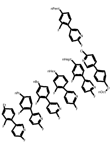 CCCCCCCCOc1ccc(-c2ccc(Cl)nc2)cc1.CCCCCCCc1ccc(-c2ccc(F)nc2)c(F)c1.CCCCCCc1ccc(-c2ccc(F)nc2)c(F)c1.CCCCCc1ccc(-c2ccc(F)nc2)c(F)c1.CCCCc1ccc(-c2ccc(F)nc2)c(F)c1.CCCc1ccc(-c2ccc(F)nc2)c(F)c1.CCc1ccc(-c2ccc(F)nc2)c(F)c1